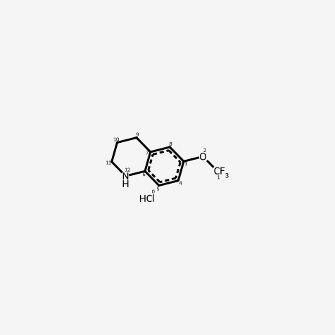 Cl.FC(F)(F)Oc1ccc2c(c1)CCCN2